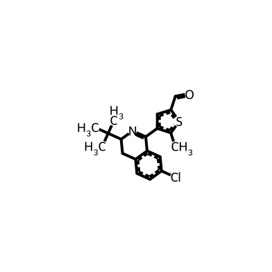 Cc1sc(C=O)cc1C1=NC(C(C)(C)C)Cc2ccc(Cl)cc21